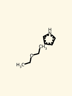 CCOCC.c1cc[nH]c1